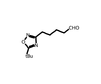 CC(C)(C)c1nc(CCCCC=O)no1